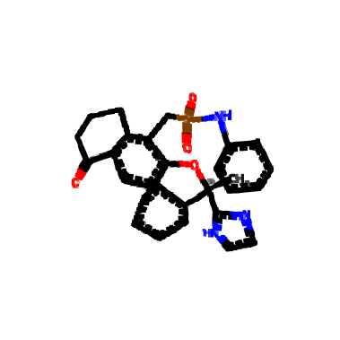 C[C@](Oc1ccc2c(c1CS(=O)(=O)Nc1ccccc1)CCCC2=O)(c1ccccc1)c1ncc[nH]1